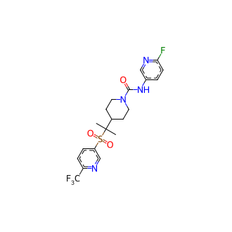 CC(C)(C1CCN(C(=O)Nc2ccc(F)nc2)CC1)S(=O)(=O)c1ccc(C(F)(F)F)nc1